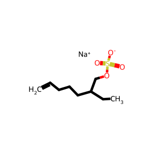 C=CCCCC(CC)COS(=O)(=O)[O-].[Na+]